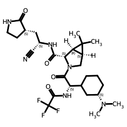 CN(C)[C@H]1CCCC([C@H](NC(=O)C(F)(F)F)C(=O)N2C[C@H]3[C@@H]([C@H]2C(=O)N[C@H](C#N)C[C@@H]2CCNC2=O)C3(C)C)C1